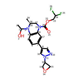 CC(O)N1c2ccc(-c3cnn(C4COC4)c3)cc2N(C(=O)OCC(F)F)C[C@@H]1C